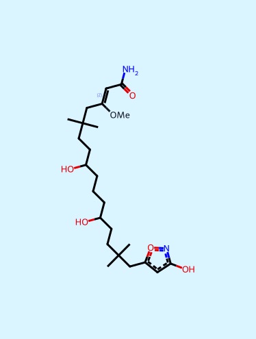 CO/C(=C\C(N)=O)CC(C)(C)CCC(O)CCCC(O)CCC(C)(C)Cc1cc(O)no1